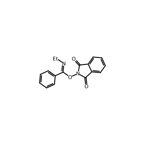 CCN=C(ON1C(=O)c2ccccc2C1=O)c1ccccc1